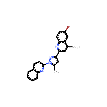 Cc1cc(-c2cc(C(=O)O)c3cc(Br)ccc3n2)nn1-c1ccc2ccccc2n1